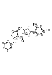 O=C1OC[C@@H](Cc2ccccc2)N1C(=O)[C@@H]1CC=C(c2ccc(F)cc2F)C1